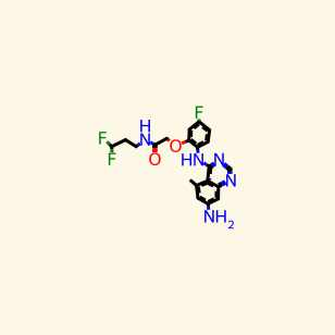 Cc1cc(N)cc2ncnc(Nc3ccc(F)cc3OCC(=O)NCCC(F)F)c12